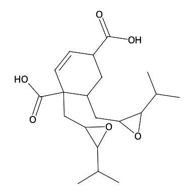 CC(C)C1OC1CC1CC(C(=O)O)C=CC1(CC1OC1C(C)C)C(=O)O